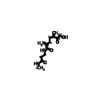 CNC(=O)CCNC(=O)[C@@H](N)CCN(C)C(=O)CO